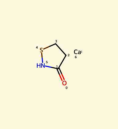 O=C1CCSN1.[Ca]